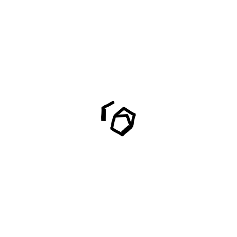 C1=C2CCC(C1)C2.C=CC